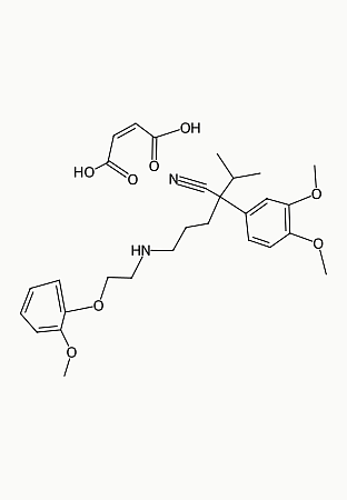 COc1ccc(C(C#N)(CCCNCCOc2ccccc2OC)C(C)C)cc1OC.O=C(O)/C=C\C(=O)O